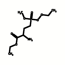 CCOOP(=O)(CCC(N)C(=O)OCC)OC